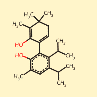 CC1=C(O)C(c2c(O)c(C)cc(C(C)C)c2C(C)C)=CCC1(C)C